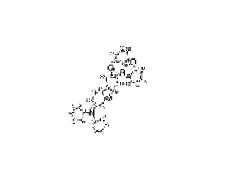 c1ccc(N(c2ccccc2)c2ccc3c(c2)sc2cc4c(cc23)Oc2cccc3c2B4c2ccccc2O3)cc1